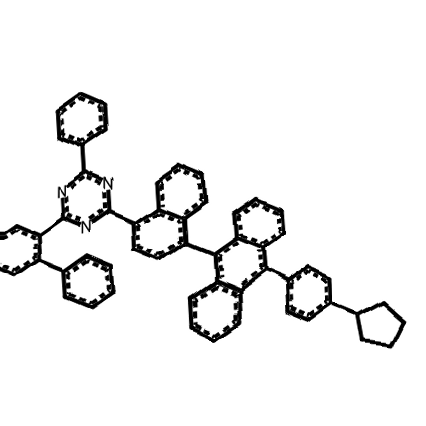 c1ccc(-c2nc(-c3ccccc3-c3ccccc3)nc(-c3ccc(-c4c5ccccc5c(-c5ccc(C6CCCC6)cc5)c5ccccc45)c4ccccc34)n2)cc1